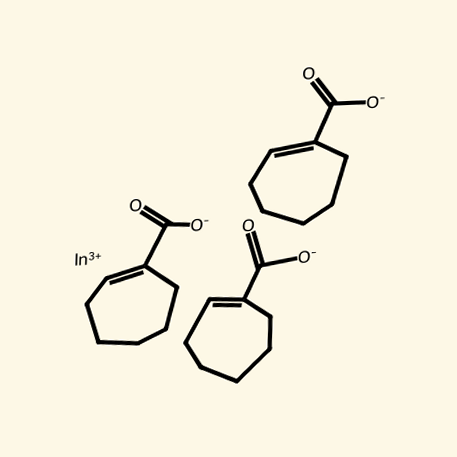 O=C([O-])C1=CCCCCC1.O=C([O-])C1=CCCCCC1.O=C([O-])C1=CCCCCC1.[In+3]